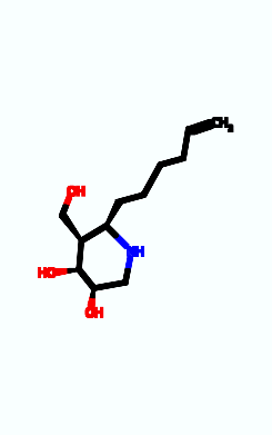 C=CCCCC[C@H]1NC[C@@H](O)[C@@H](O)[C@H]1CO